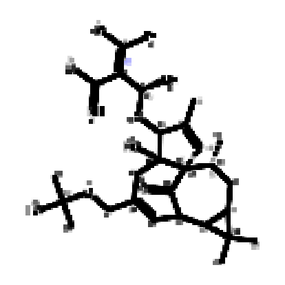 CCC(=N)/C(=C(\O)CC)[C@@H](O)OC1C(C)=C[C@]23C(=O)C(C=C(COC(C)(C)O)CC12O)C1C(C[C@H]3C)C1(C)C